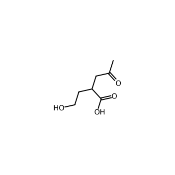 CC(=O)CC(CCO)C(=O)O